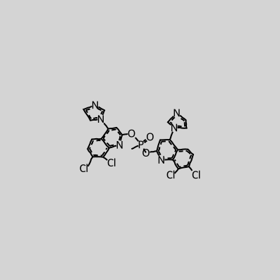 CP(=O)(Oc1cc(-n2ccnc2)c2ccc(Cl)c(Cl)c2n1)Oc1cc(-n2ccnc2)c2ccc(Cl)c(Cl)c2n1